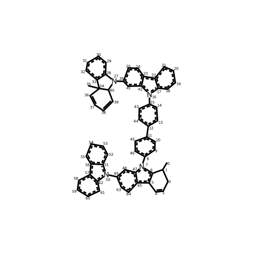 CC1CC=Cc2c1n(-c1ccc(-c3ccc(-n4c5ccccc5c5ccc(N6c7ccccc7C7(C)C=CC=CC67)cc54)cc3)cc1)c1cc(-n3c4ccccc4c4ccccc43)ccc21